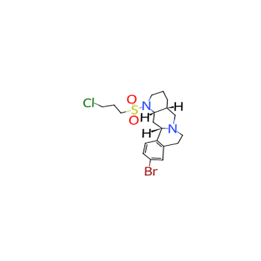 O=S(=O)(CCCCl)N1CCC[C@@H]2CN3CCc4cc(Br)ccc4[C@@H]3C[C@@H]21